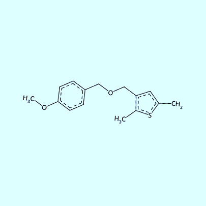 COc1ccc(COCc2cc(C)sc2C)cc1